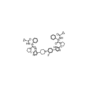 O=C(N[C@@H](C(=O)N1CCC[C@H]1c1ncc(-c2ccc(N3CCC(c4cnc([C@@H]5CCCN5C(=O)[C@H](NC(=O)C5CC5)c5ccccc5)[nH]4)CC3)c(F)c2)[nH]1)c1ccccc1)C1CC1